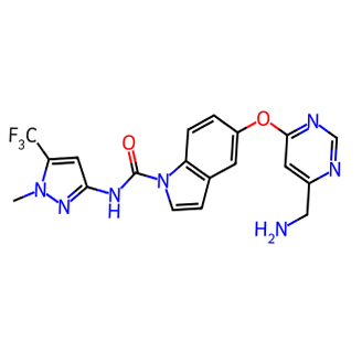 Cn1nc(NC(=O)n2ccc3cc(Oc4cc(CN)ncn4)ccc32)cc1C(F)(F)F